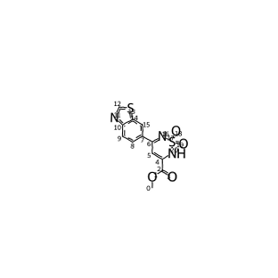 COC(=O)C1=CC(c2ccc3ncsc3c2)=NS(=O)(=O)N1